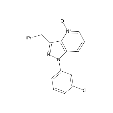 CC(C)Cc1nn(-c2cccc(Cl)c2)c2ccc[n+]([O-])c12